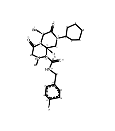 CCC(C)[C@H]1C(=O)N(C2CCCCC2)C[C@H]2N1C(=O)CN(C)N2C(=O)NCc1ccc(F)cc1